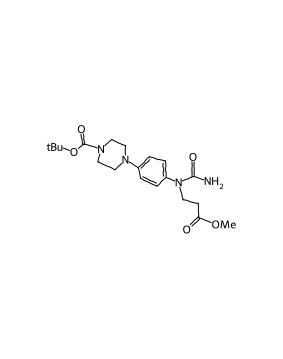 COC(=O)CCN(C(N)=O)c1ccc(N2CCN(C(=O)OC(C)(C)C)CC2)cc1